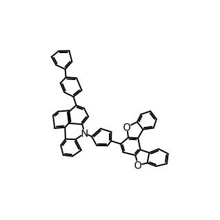 c1ccc(-c2ccc(-c3ccc(N(c4ccc(-c5cc6oc7ccccc7c6c6c5oc5ccccc56)cc4)c4ccccc4-c4ccccc4)cc3)cc2)cc1